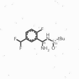 CC(C)(C)[S@@+]([O-])N[C@@H](N)c1cc(C(F)F)ccc1F